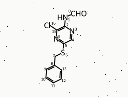 O=CNc1ncc(SCc2ccccc2)nc1Cl